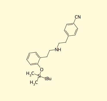 CC(C)(C)[Si](C)(C)Oc1ccccc1CCNCCc1ccc(C#N)cc1